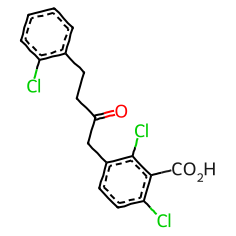 O=C(CCc1ccccc1Cl)Cc1ccc(Cl)c(C(=O)O)c1Cl